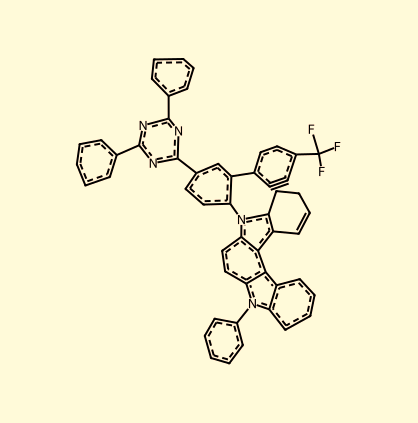 FC(F)(F)c1c#cc(-c2cc(-c3nc(-c4ccccc4)nc(-c4ccccc4)n3)ccc2-n2c3c(c4c5c6ccccc6n(-c6ccccc6)c5ccc42)C=CCC3)cc1